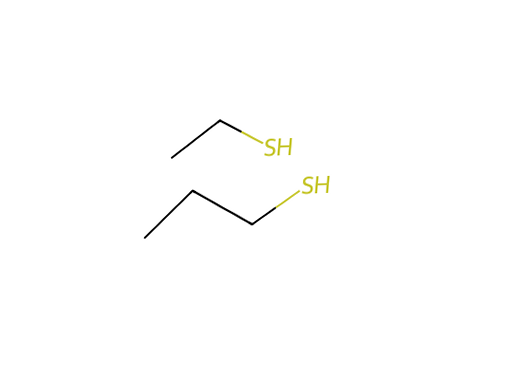 CCCS.CCS